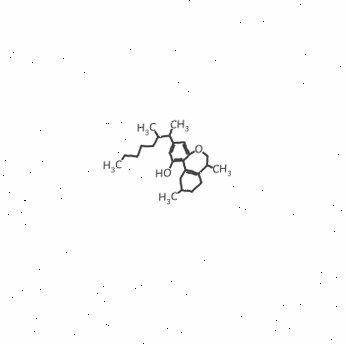 CCCCCC(C)C(C)c1cc(O)c2c(c1)OCC(C)C1=C2CC(C)CC1